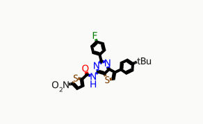 CC(C)(C)c1ccc(-c2csc3c(NC(=O)c4ccc([N+](=O)[O-])s4)nc(-c4ccc(F)cc4)nc23)cc1